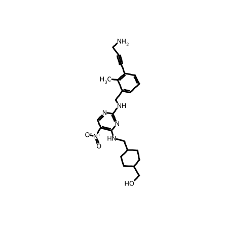 Cc1c(C#CCN)cccc1CNc1ncc([N+](=O)[O-])c(NCC2CCC(CO)CC2)n1